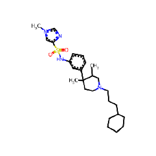 CC1CN(CCCC2CCCCC2)CCC1(C)c1cccc(NS(=O)(=O)c2cn(C)cn2)c1